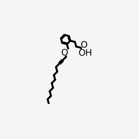 CCCCCCCCCCC#CCOCc1ccccc1CCC(=O)O